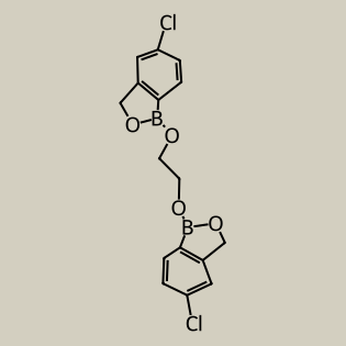 Clc1ccc2c(c1)COB2OCCOB1OCc2cc(Cl)ccc21